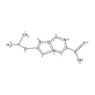 CC(C)Oc1cn2cc(C(=O)O)ncc2n1